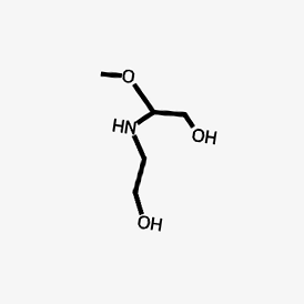 COC(CO)NCCO